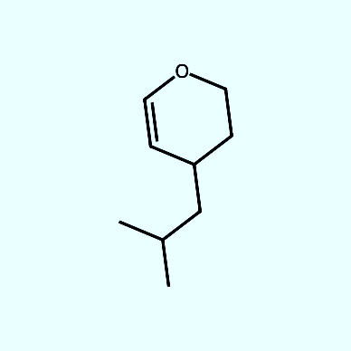 CC(C)CC1C=COCC1